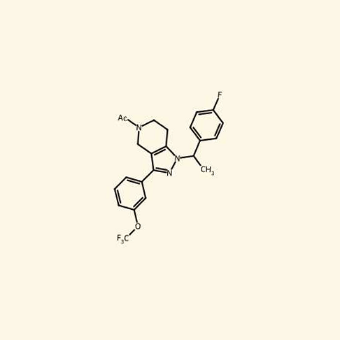 CC(=O)N1CCc2c(c(-c3cccc(OC(F)(F)F)c3)nn2C(C)c2ccc(F)cc2)C1